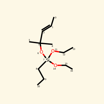 CC=CC(C)(C)O[Si](CCC)(OCC)OCC